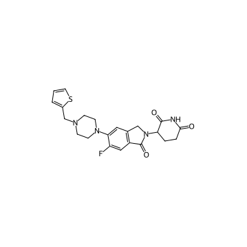 O=C1CCC(N2Cc3cc(N4CCN(Cc5cccs5)CC4)c(F)cc3C2=O)C(=O)N1